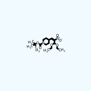 CCOC(OCC)/C(=C\C1CCN(C(=O)OC(C)(C)C)CC1)[N+](=O)[O-]